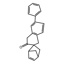 O=C1Cc2cc(-c3ccccc3)ccc2CC12CC1C=CC2C1